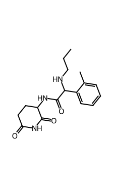 CCCNC(C(=O)NC1CCC(=O)NC1=O)c1ccccc1C